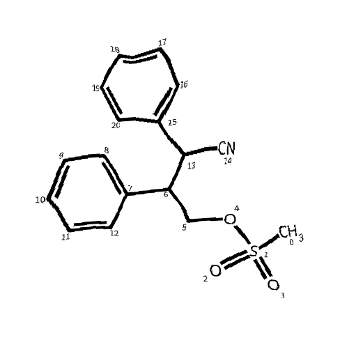 CS(=O)(=O)OCC(c1ccccc1)C(C#N)c1ccccc1